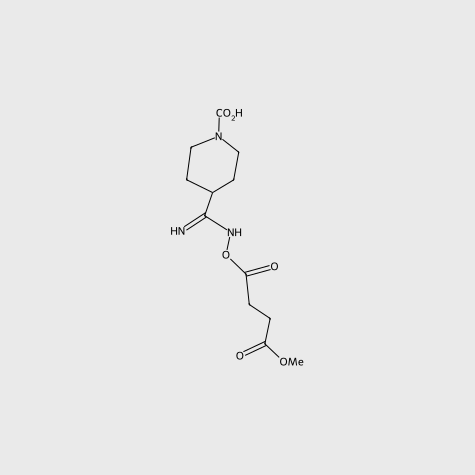 COC(=O)CCC(=O)ONC(=N)C1CCN(C(=O)O)CC1